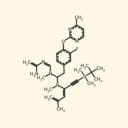 C=C(C)/C=C(/C#C[Si](C)(C)C(C)(C)C)N(C)C(Cc1ccc(Oc2nccc(C)n2)c(F)c1)N(C)/C=N\C(=C)N